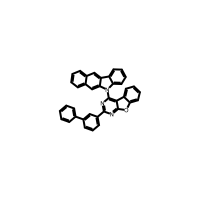 c1ccc(-c2cccc(-c3nc(-n4c5ccccc5c5cc6ccccc6cc54)c4c(n3)oc3ccccc34)c2)cc1